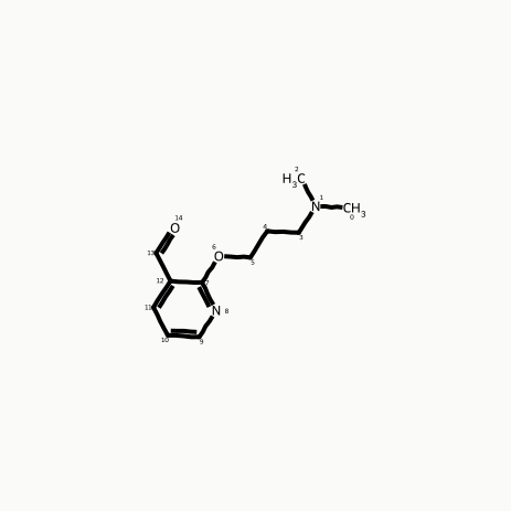 CN(C)CCCOc1ncccc1C=O